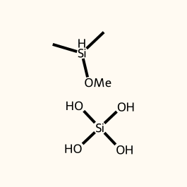 CO[SiH](C)C.O[Si](O)(O)O